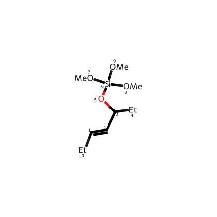 CCC=CC(CC)O[Si](OC)(OC)OC